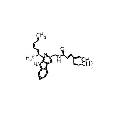 C=C/C=C\C=C(/C)c1nc(CNC(=O)/C=C/C(/C=C\C)=C/C)cc2c1[nH]c1ccccc12